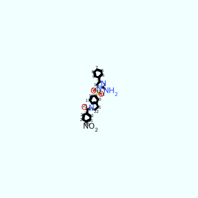 NC1=NC(c2ccccc2)CN1S(=O)(=O)c1ccc2c(c1)CCN2C(=O)c1ccc([N+](=O)[O-])cc1